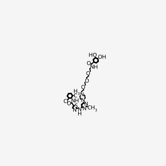 Cc1nc(Nc2ncc(C(=O)Nc3c(C)cccc3Cl)s2)cc(N2CCN(CCOCCOCCOCCNC(=O)c3ccc(O)c(O)c3)CC2)n1